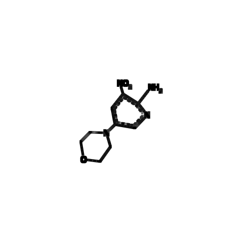 Nc1ncc(N2CCOCC2)cc1[N+](=O)[O-]